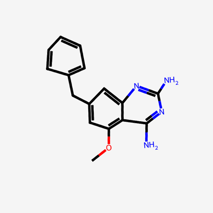 COc1cc(Cc2ccccc2)cc2nc(N)nc(N)c12